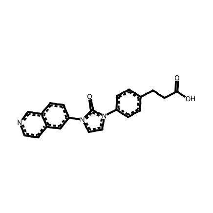 O=C(O)CCc1ccc(-n2ccn(-c3ccc4cnccc4c3)c2=O)cc1